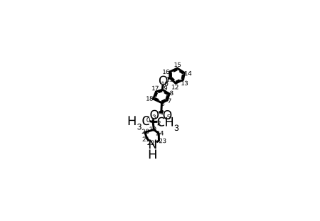 CC(C)(OC(=O)c1ccc(Oc2ccccc2)cc1)C1CCNCC1